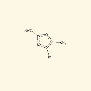 Cc1sc(C=O)nc1Br